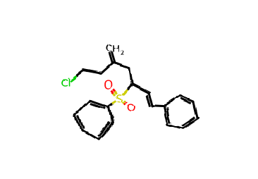 C=C(CCCl)CC(/C=C/c1ccccc1)S(=O)(=O)c1ccccc1